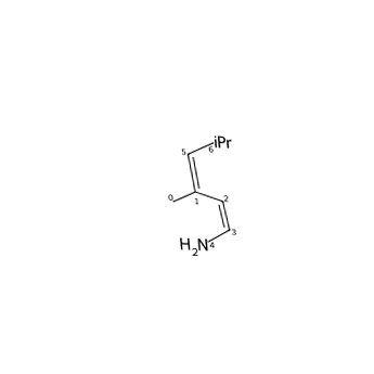 CC(/C=C\N)=C/C(C)C